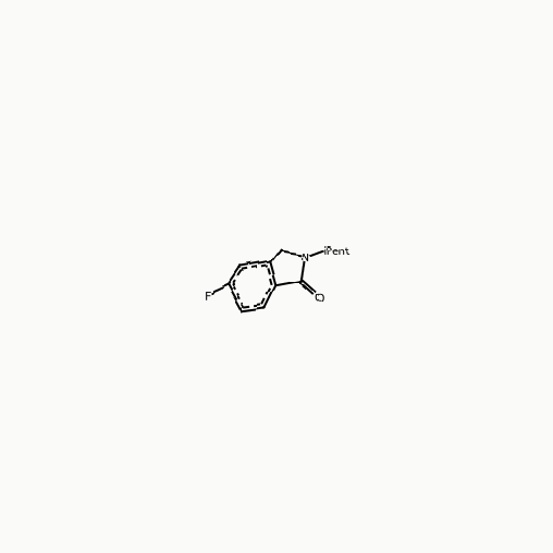 CCCC(C)N1Cc2cc(F)ccc2C1=O